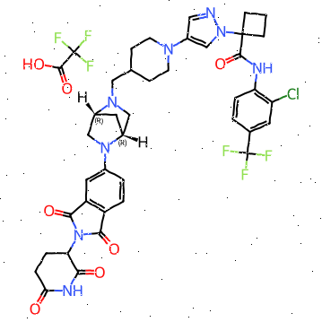 O=C(O)C(F)(F)F.O=C1CCC(N2C(=O)c3ccc(N4C[C@H]5C[C@@H]4CN5CC4CCN(c5cnn(C6(C(=O)Nc7ccc(C(F)(F)F)cc7Cl)CCC6)c5)CC4)cc3C2=O)C(=O)N1